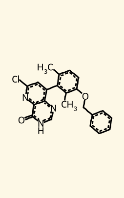 Cc1ccc(OCc2ccccc2)c(C)c1-c1cc(Cl)nc2c(=O)[nH]cnc12